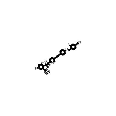 N#Cc1ccc(COc2ccc(C#Cc3ccc(C(F)(F)C4(O)Cn5nnnc5-c5cc(F)ccc54)nc3)cc2)c(F)c1